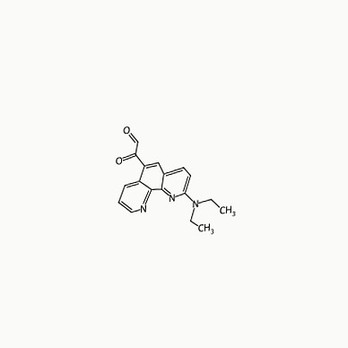 CCN(CC)c1ccc2cc(C(=O)C=O)c3cccnc3c2n1